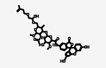 C=C(C)CCOCC(O)OCC1OC(OC)C(NC(C)=O)C(OC2CC(O)C(OC)C(C(=O)Nc3ccc4c(c3)C(=O)OC43c4ccc(O)cc4Oc4cc(O)ccc43)O2)C1C